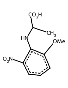 COc1cccc([N+](=O)[O-])c1NC(C)C(=O)O